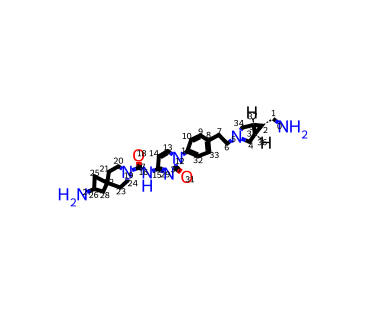 NC[C@@H]1[C@H]2CN(CCc3ccc(-n4ccc(NC(=O)N5CCC6(CC5)CC(N)C6)nc4=O)cc3)C[C@@H]12